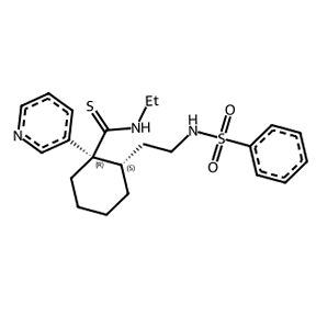 CCNC(=S)[C@]1(c2cccnc2)CCCC[C@H]1CCNS(=O)(=O)c1ccccc1